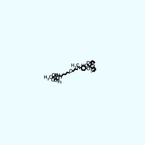 CN(CCCOCCCCCCO[Si](C)(C)C(C)(C)C)[C@H]1CC[C@H](OC(C(=O)O)(c2cccs2)c2cccs2)CC1